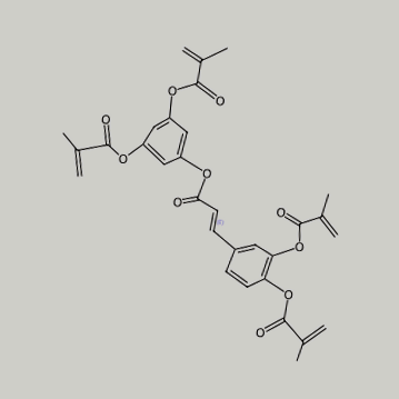 C=C(C)C(=O)Oc1cc(OC(=O)/C=C/c2ccc(OC(=O)C(=C)C)c(OC(=O)C(=C)C)c2)cc(OC(=O)C(=C)C)c1